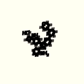 Cl.Nc1ncccc1-c1nc2ccc(-c3cccc(N4CCOCC4)n3)nc2n1-c1ccc(C2(N)CCC2)cc1